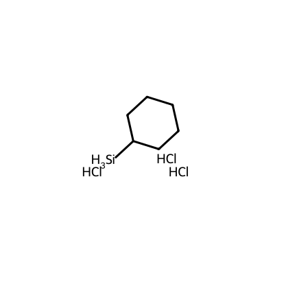 Cl.Cl.Cl.[SiH3]C1CCCCC1